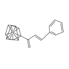 O=C(C=Cc1ccccc1)[C]12[CH]3[CH]4[CH]5[CH]1[Fe]45321678[CH]2[CH]1[CH]6[CH]7[CH]28